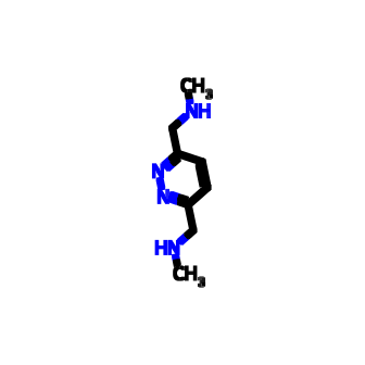 CNCc1ccc(CNC)nn1